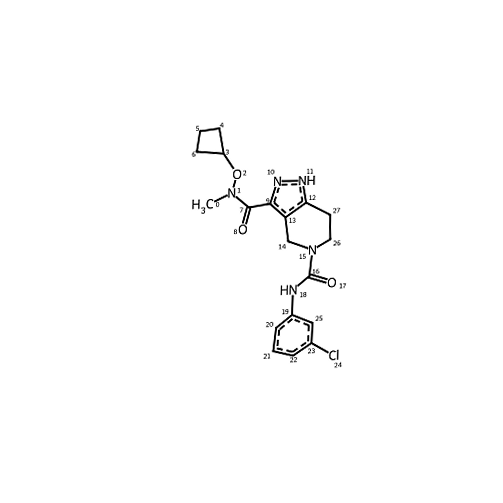 CN(OC1CCC1)C(=O)c1n[nH]c2c1CN(C(=O)Nc1cccc(Cl)c1)CC2